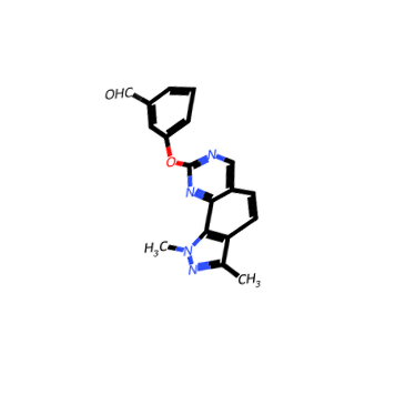 Cc1nn(C)c2c1ccc1cnc(Oc3cccc(C=O)c3)nc12